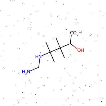 CC(C)(NCN)C(C)(C)C(O)C(=O)O